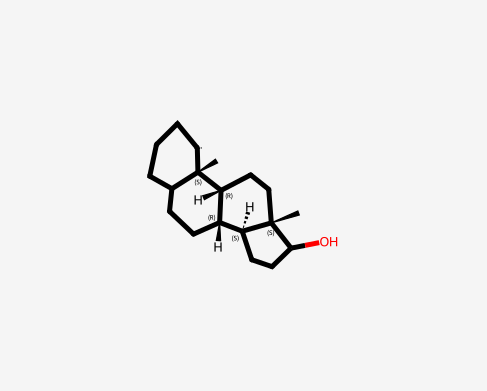 C[C@]12[CH]CCCC1CC[C@@H]1[C@H]2CC[C@]2(C)C(O)CC[C@@H]12